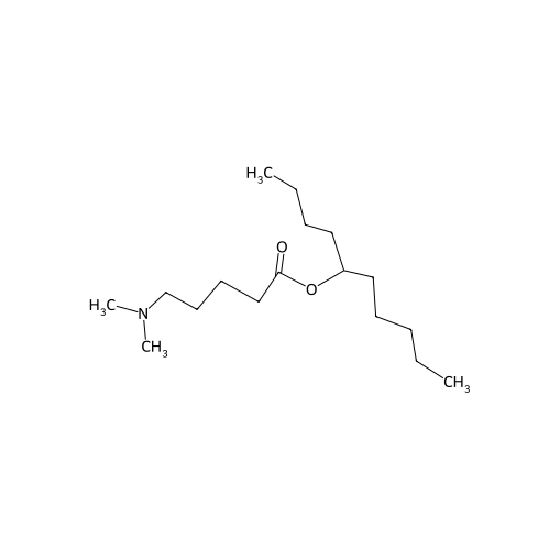 CCCCCC(CCCC)OC(=O)CCCCN(C)C